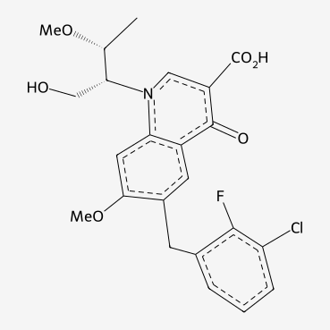 COc1cc2c(cc1Cc1cccc(Cl)c1F)c(=O)c(C(=O)O)cn2[C@H](CO)[C@@H](C)OC